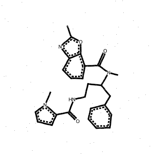 Cc1nc2cccc(C(=O)N(C)C(CCNC(=O)c3cccn3C)Cc3ccccc3)c2o1